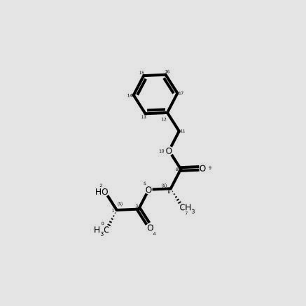 C[C@H](O)C(=O)O[C@@H](C)C(=O)OCc1ccccc1